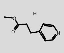 COC(=O)CCc1ccncc1.I